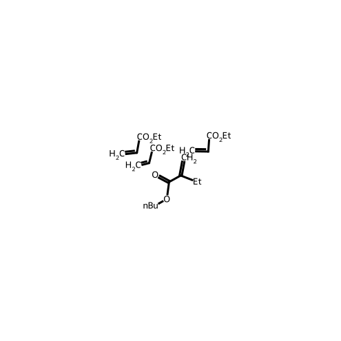 C=C(CC)C(=O)OCCCC.C=CC(=O)OCC.C=CC(=O)OCC.C=CC(=O)OCC